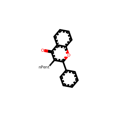 CCCCCc1c(-c2ccccc2)oc2ccccc2c1=O